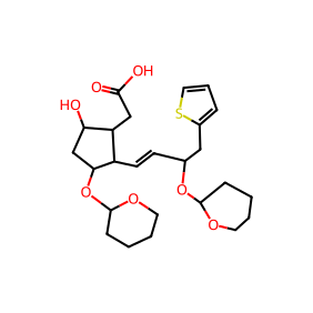 O=C(O)CC1C(O)CC(OC2CCCCO2)C1C=CC(Cc1cccs1)OC1CCCCO1